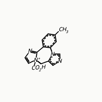 Cc1ccc2c(c1)-n1cncc1C[N+]1(C(=O)O)C=CN=C21